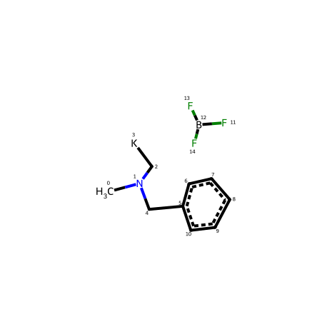 CN([CH2][K])Cc1ccccc1.FB(F)F